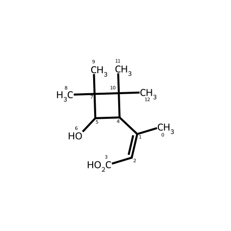 C/C(=C/C(=O)O)C1C(O)C(C)(C)C1(C)C